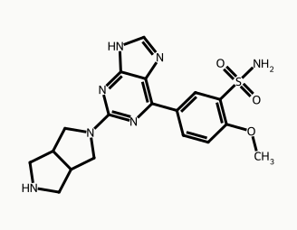 COc1ccc(-c2nc(N3CC4CNCC4C3)nc3[nH]cnc23)cc1S(N)(=O)=O